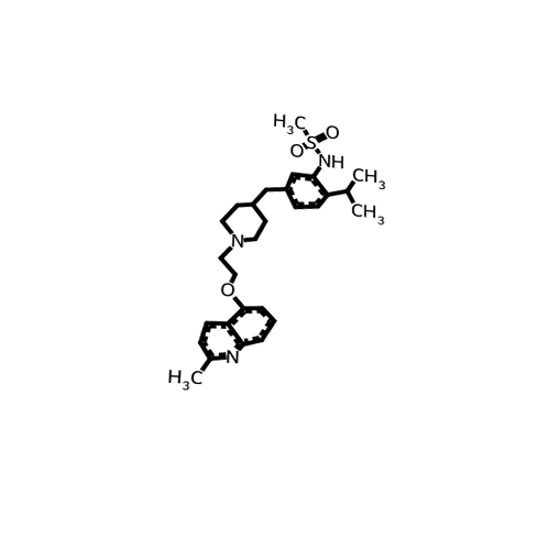 Cc1ccc2c(OCCN3CCC(Cc4ccc(C(C)C)c(NS(C)(=O)=O)c4)CC3)cccc2n1